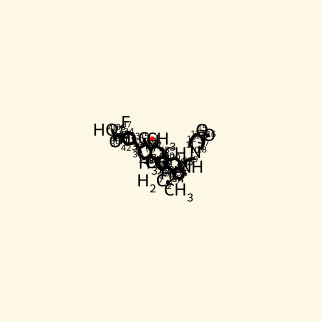 C=C(C)[C@@H]1CC[C@]2(NCCN3CCCS(=O)(=O)CC3)CC[C@]3(C)[C@H](CCC4[C@@]5(C)CC=C(C6=CC[C@](CF)(C(=O)O)CC6)C(C)(C)[C@@H]5CC[C@]43C)[C@@H]12